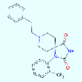 O=C1NC(=O)C2(CCN(CCc3ccccc3)CC2)N1c1ccccc1C(F)(F)F